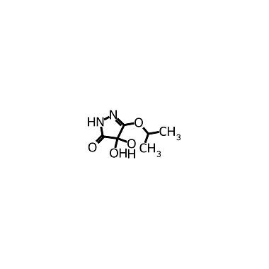 CC(C)OC1=NNC(=O)C1(O)O